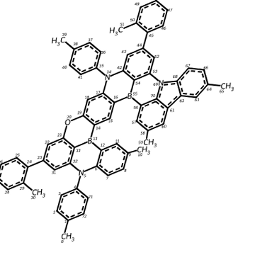 Cc1ccc(N2c3ccc(C)cc3B3c4cc5c(cc4Oc4cc(-c6ccccc6C)cc2c43)N(c2ccc(C)cc2)c2cc(-c3ccccc3C)cc3c2B5c2cc(C)cc4c5cc(C)ccc5n-3c24)cc1